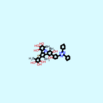 Bc1c(O)c(O)c(O)c2c1sc1c2c(B)c2c3c(O)c(-c4cccc(-c5nc(-c6ccccc6)nc(-c6ccccc6)n5)c4)c(O)c(B)c3n3c4c(B)c(O)c(O)c(O)c4c1c23